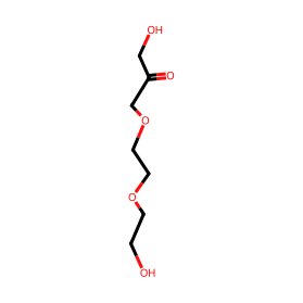 O=C(CO)COCCOCCO